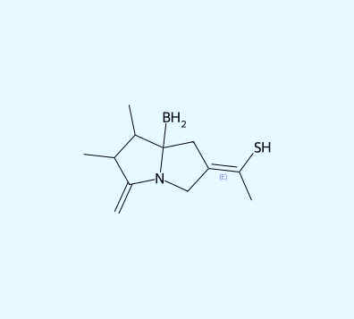 BC12C/C(=C(/C)S)CN1C(=C)C(C)C2C